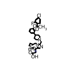 CC1(c2ccc(Cl)cc2F)Oc2cccc(C3CCN(Cc4ncc(/C=C/C(=O)O)n4CC4CCS4(=O)=O)CC3)c2O1